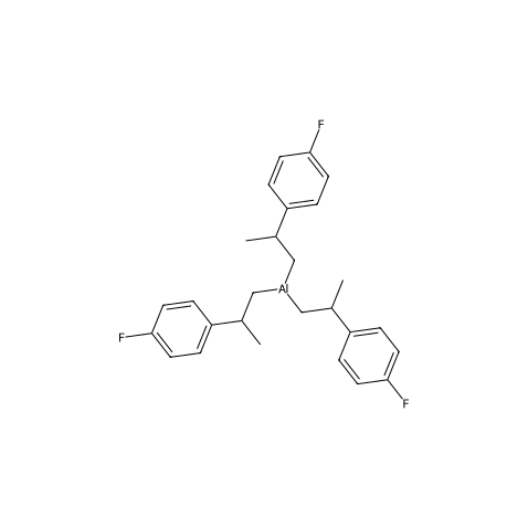 CC([CH2][Al]([CH2]C(C)c1ccc(F)cc1)[CH2]C(C)c1ccc(F)cc1)c1ccc(F)cc1